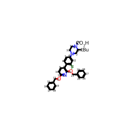 CC(C)(C)C1CN(c2ccc(-c3ccc(OCc4ccccc4)nc3OCc3ccccc3)c(F)c2)CCN1C(=O)O